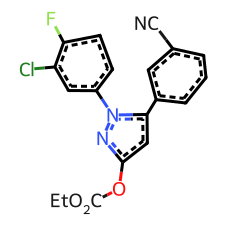 CCOC(=O)Oc1cc(-c2cccc(C#N)c2)n(-c2ccc(F)c(Cl)c2)n1